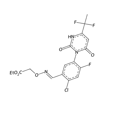 CCOC(=O)CO/N=C/c1cc(-n2c(=O)cc(C(C)(F)F)[nH]c2=O)c(F)cc1Cl